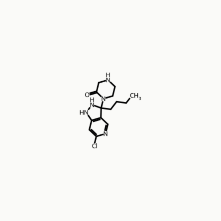 CCCCC1(N2CCNCC2=O)NNc2cc(Cl)ncc21